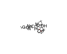 Cc1ccc([C@H](F)c2c(C3CCN(c4ncc(COC(C)C)cn4)CC3)nc3c(c2C2CCC(F)(F)CC2)[C@@H](O)CC(C)(C)C3)cc1